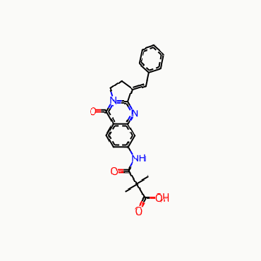 CC(C)(C(=O)O)C(=O)Nc1ccc2c(=O)n3c(nc2c1)/C(=C/c1ccccc1)CC3